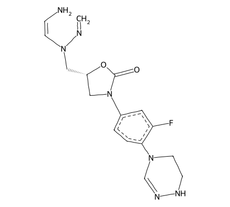 C=NN(/C=C\N)C[C@H]1CN(c2ccc(N3C=NNCC3)c(F)c2)C(=O)O1